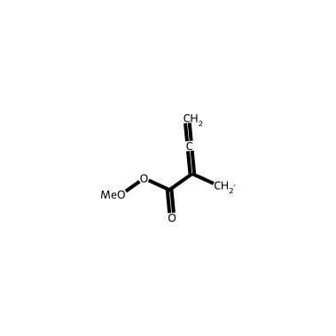 [CH2]C(=C=C)C(=O)OOC